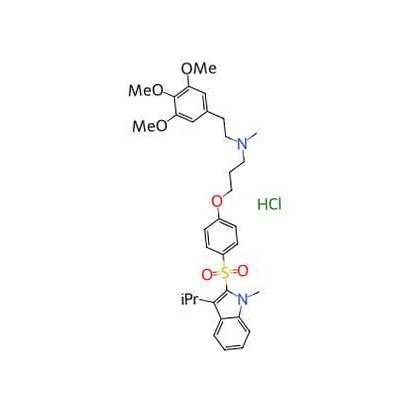 COc1cc(CCN(C)CCCOc2ccc(S(=O)(=O)c3c(C(C)C)c4ccccc4n3C)cc2)cc(OC)c1OC.Cl